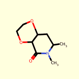 CC1CC2OCCOC2C(=O)N1C